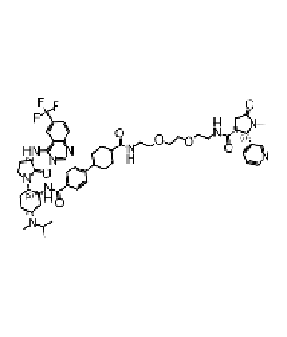 CC(C)N(C)[C@@H]1CC[C@H](N2CC[C@H](Nc3ncnc4ccc(C(F)(F)F)cc34)C2=O)[C@H](NC(=O)c2ccc(C3CCC(C(=O)NCCOCCOCCNC(=O)[C@H]4CC(=O)N(C)[C@@H]4c4cccnc4)CC3)cc2)C1